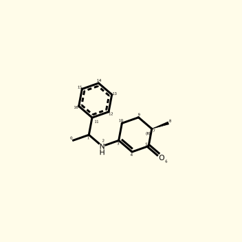 CC(NC1=CC(=O)[C@H](C)CC1)c1ccccc1